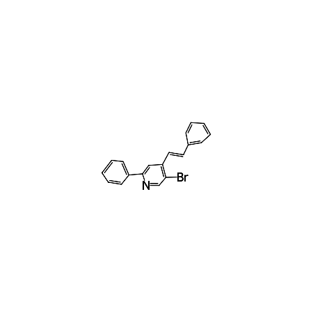 Brc1cnc(-c2ccccc2)cc1/C=C/c1ccccc1